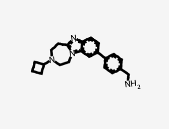 NCc1ccc(-c2ccc3nc4n(c3c2)CCN(C2CCC2)CC4)cc1